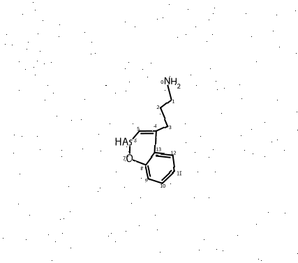 NCCCC1=C[AsH]Oc2ccccc21